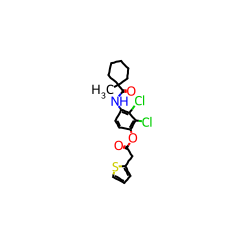 CC1(C(=O)Nc2ccc(OC(=O)Cc3cccs3)c(Cl)c2Cl)CCCCC1